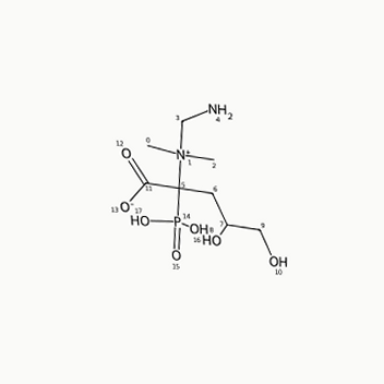 C[N+](C)(CN)C(CC(O)CO)(C(=O)[O-])P(=O)(O)O